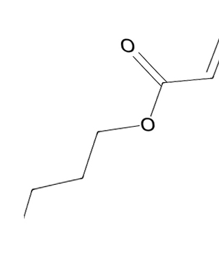 [CH]=CC(=O)OCCCC